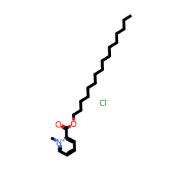 CCCCCCCCCCCCCCCCOC(=O)c1cccc[n+]1C.[Cl-]